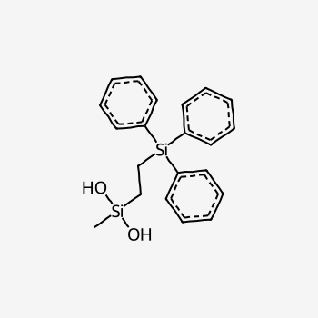 C[Si](O)(O)CC[Si](c1ccccc1)(c1ccccc1)c1ccccc1